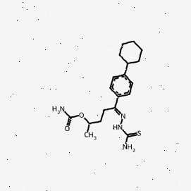 CC(CCC(=NNC(N)=S)c1ccc(C2CCCCC2)cc1)OC(N)=O